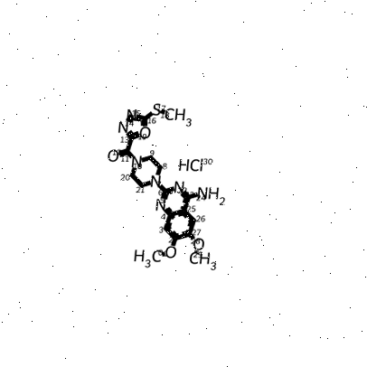 COc1cc2nc(N3CCN(C(=O)c4nnc(SC)o4)CC3)nc(N)c2cc1OC.Cl